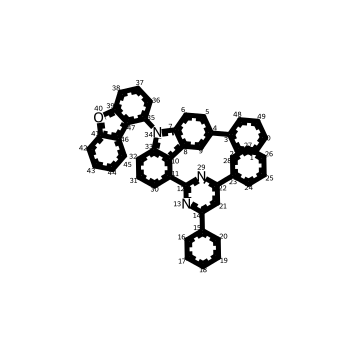 c1ccc(-c2ccc3c(c2)c2c(-c4nc(-c5ccccc5)cc(-c5ccccc5)n4)cccc2n3-c2cccc3oc4ccccc4c23)cc1